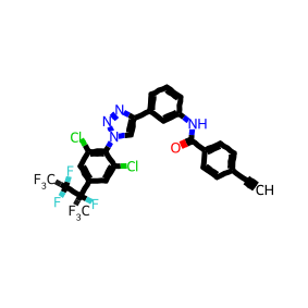 C#Cc1ccc(C(=O)Nc2cccc(-c3cn(-c4c(Cl)cc(C(F)(C(F)(F)F)C(F)(F)C(F)(F)F)cc4Cl)nn3)c2)cc1